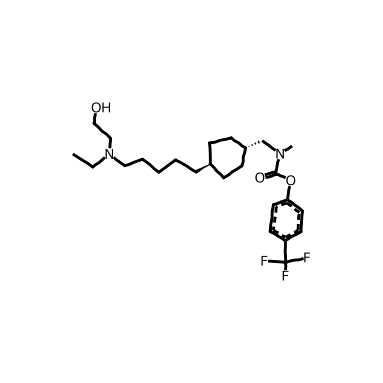 CCN(CCO)CCCCC[C@H]1CC[C@H](CN(C)C(=O)Oc2ccc(C(F)(F)F)cc2)CC1